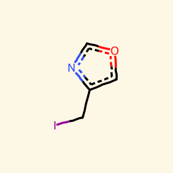 ICc1cocn1